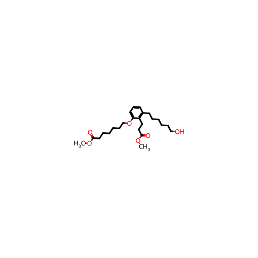 COC(=O)CCCCCCOc1cccc(CCCCCCO)c1CCC(=O)OC